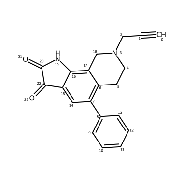 C#CCN1CCc2c(-c3ccccc3)cc3c(c2C1)NC(=O)C3=O